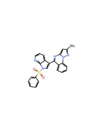 CC(C)(C)c1cc2nc(-c3cn(S(=O)(=O)c4ccccc4)c4ncccc34)c3ccccc3n2n1